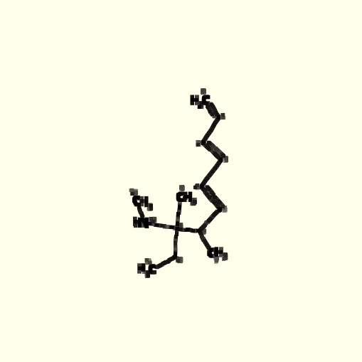 C=CC=CC=CC(C)C(C)(CC)NC